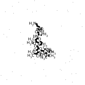 CC[C@H](C)[C@@H](C(CC(=O)N1CCC[C@H]1[C@H](OC)[C@@H](C)C(=O)N[C@@H](CP)C(=O)NS(=O)(=O)CCCN)OC)N(C)C(=O)[C@@H](N=C(N(C)C)N(C)C)C(C)C